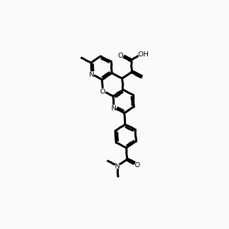 C=C(C(=O)O)C1c2ccc(C)nc2Oc2nc(-c3ccc(C(=O)N(C)C)cc3)ccc21